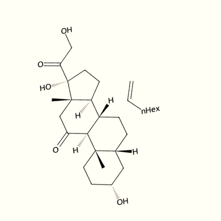 C=CCCCCCC.C[C@]12CC[C@@H](O)C[C@H]1CC[C@@H]1[C@@H]2C(=O)C[C@@]2(C)[C@H]1CC[C@]2(O)C(=O)CO